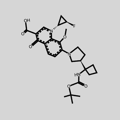 COc1c(N2CC[C@@H](C3(NC(=O)OC(C)(C)C)CCC3)C2)ccc2c(=O)c(C(=O)O)cn([C@@H]3C[C@H]3F)c12